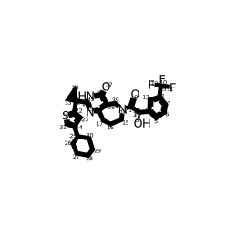 O=C([C@H](O)c1cccc(C(F)(F)F)c1)N1CCCc2nc(C3(c4cc(C5CCCCC5)cs4)CC3)[nH]c(=O)c2C1